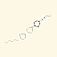 CCCCCC[C@H]1CC[C@H](C2CCC(c3ccc(C(F)(F)C(F)(F)CCC)cc3)CC2)CC1